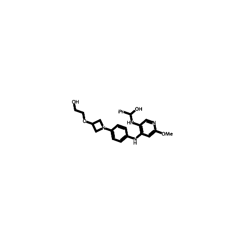 COc1cc(Nc2ccc(N3CC(OCCO)C3)cc2)c(NC(O)C(C)C)cn1